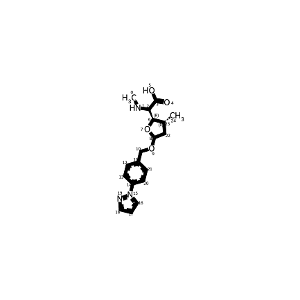 CNC(C(=O)O)[C@@H]1OC(OCc2ccc(-n3cccn3)cc2)C[C@H]1C